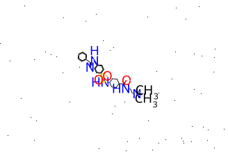 CN(C)CCNC(=O)C1CCC(NS(=O)(=O)c2ccc3[nH]c(-c4ccccc4)nc3c2)CC1